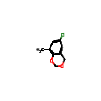 [CH2]c1cc(Cl)cc2c1OCOC2